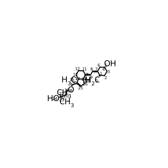 C=C1CC[C@H](O)C/C1=C/C=C1\CCC[C@]2(C)C(COCCC(C)(C)O)=CC[C@@H]12